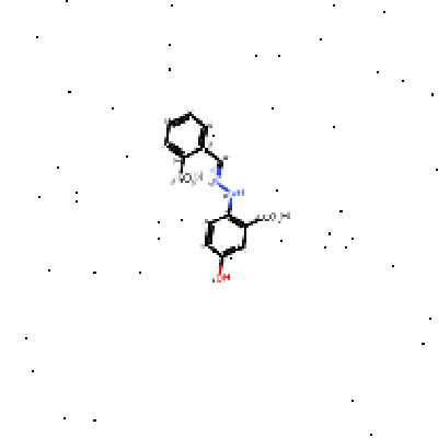 O=C(O)c1cc(O)ccc1N/N=C/c1ccccc1S(=O)(=O)O